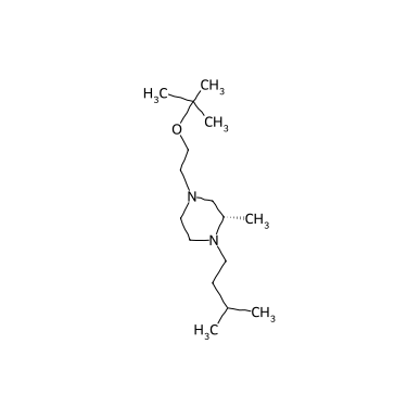 CC(C)CCN1CCN(CCOC(C)(C)C)C[C@@H]1C